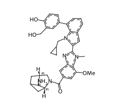 COc1cc(C(=O)N2C[C@H]3CC4C[C@@H]2[C@@]43N)cc2nc(-c3cc4cccc(-c5ccc(O)c(CO)c5)c4n3CC3CC3)n(C)c12